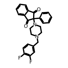 O=C1c2ccccc2C(=O)C1(c1ccccc1)N1CCN(Cc2ccc(F)c(F)c2)CC1